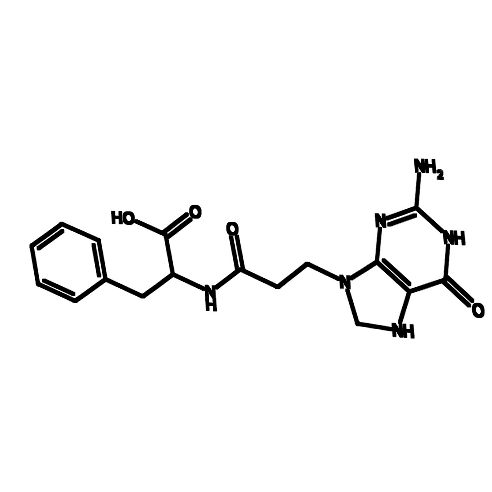 Nc1nc2c(c(=O)[nH]1)NCN2CCC(=O)NC(Cc1ccccc1)C(=O)O